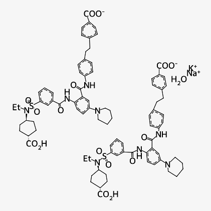 CCN([C@H]1CC[C@H](C(=O)O)CC1)S(=O)(=O)c1cccc(C(=O)Nc2ccc(N3CCCCC3)cc2C(=O)Nc2ccc(CCc3ccc(C(=O)[O-])cc3)cc2)c1.CCN([C@H]1CC[C@H](C(=O)O)CC1)S(=O)(=O)c1cccc(C(=O)Nc2ccc(N3CCCCC3)cc2C(=O)Nc2ccc(CCc3ccc(C(=O)[O-])cc3)cc2)c1.O.[K+].[Na+]